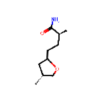 C[C@H]1COC(CC[C@H](C)C(N)=O)C1